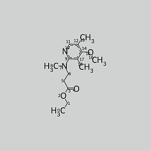 CCOC(=O)CCN(C)c1ncc(C)c(OC)c1C